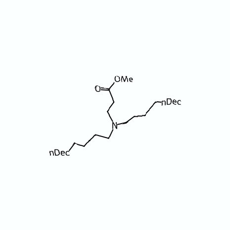 CCCCCCCCCCCCCCN(CCCCCCCCCCCCCC)CCC(=O)OC